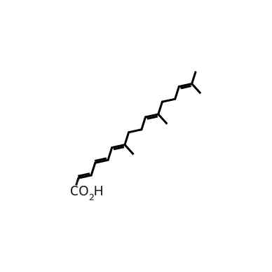 CC(C)=CCC/C(C)=C/CC/C(C)=C/C=C/C=C/C(=O)O